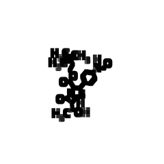 C[C@@H](O)[C@H]1C(=O)N2C(C(=O)OCC[Si](C)(C)C)=C(c3ccc(NC=O)cc3)S[C@H]12